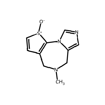 CN1Cc2cc[s+]([O-])c2-n2cncc2C1